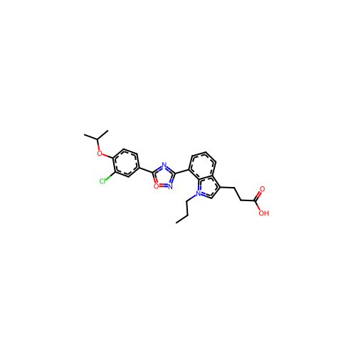 CCCn1cc(CCC(=O)O)c2cccc(-c3noc(-c4ccc(OC(C)C)c(Cl)c4)n3)c21